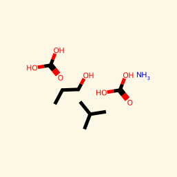 CC(C)C.CCCO.N.O=C(O)O.O=C(O)O